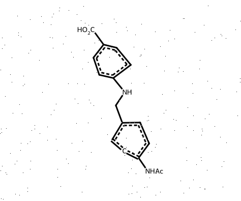 CC(=O)Nc1ccc(CNc2ccc(C(=O)O)cc2)cc1